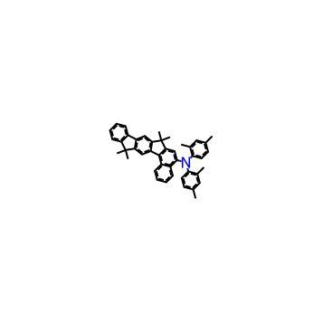 Cc1ccc(N(c2ccc(C)cc2C)c2cc3c(c4ccccc24)-c2cc4c(cc2C3(C)C)-c2ccccc2C4(C)C)c(C)c1